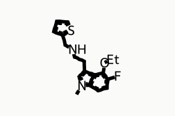 CCOc1c(F)ccc2c1c(CCNCc1cccs1)cn2C